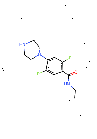 CCNC(=O)c1cc(F)c(N2CCNCC2)cc1F